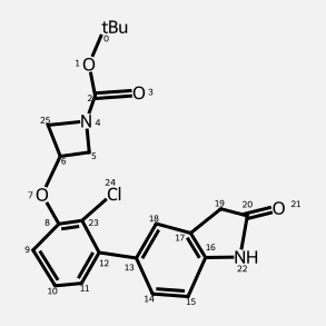 CC(C)(C)OC(=O)N1CC(Oc2cccc(-c3ccc4c(c3)CC(=O)N4)c2Cl)C1